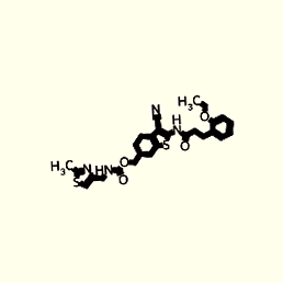 CCOc1ccccc1CCC(=O)Nc1sc2c(c1C#N)CCC(COC(=O)NCc1csc(C)n1)C2